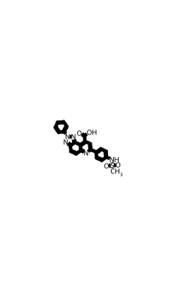 CS(=O)(=O)Nc1ccc(-c2cc(C(=O)O)c3c(ccc4nn(-c5ccccc5)nc43)n2)cc1